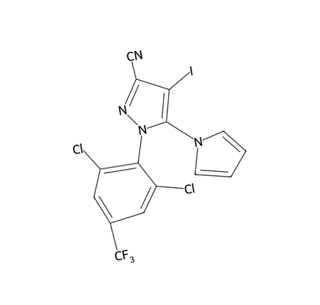 N#Cc1nn(-c2c(Cl)cc(C(F)(F)F)cc2Cl)c(-n2cccc2)c1I